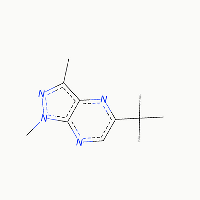 Cc1nn(C)c2ncc(C(C)(C)C)nc12